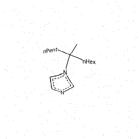 CCCCCCC(C)(CCCCC)n1ccnc1